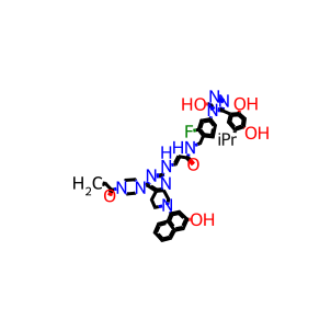 C=CC(=O)N1CCN(c2nc(NC=CC(=O)NCc3ccc(-n4c(O)nnc4-c4cc(C(C)C)c(O)cc4O)cc3F)nc3c2CCN(c2cc(O)cc4ccccc24)C3)CC1